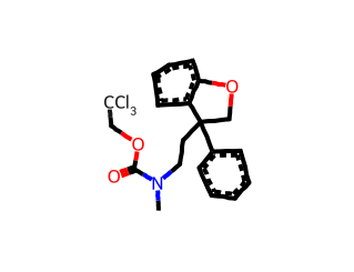 CN(CCC1(c2ccccc2)COc2ccccc21)C(=O)OCC(Cl)(Cl)Cl